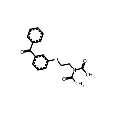 CC(=O)N(CCOc1cccc(C(=O)c2ccccc2)c1)C(C)=O